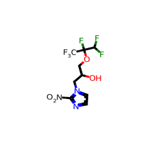 O=[N+]([O-])c1nccn1CC(O)COC(F)(C(F)F)C(F)(F)F